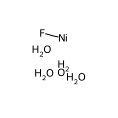 O.O.O.O.[F][Ni]